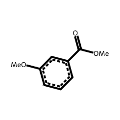 COC(=O)c1cc[c]c(OC)c1